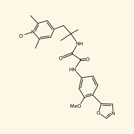 COc1cc(NC(=O)C(=O)NC(C)(C)Cc2cc(C)[n+]([O-])c(C)c2)ccc1-c1cnco1